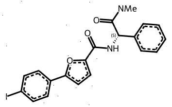 CNC(=O)[C@@H](NC(=O)c1ccc(-c2ccc(I)cc2)o1)c1ccccc1